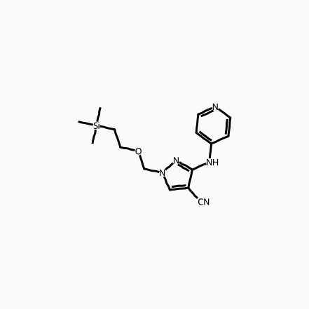 C[Si](C)(C)CCOCn1cc(C#N)c(Nc2ccncc2)n1